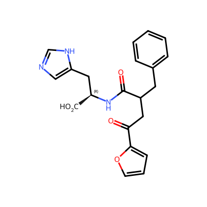 O=C(CC(Cc1ccccc1)C(=O)N[C@H](Cc1cnc[nH]1)C(=O)O)c1ccco1